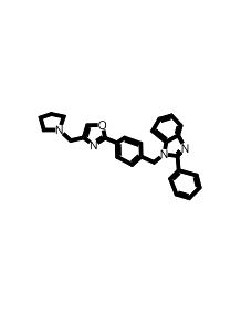 c1ccc(-c2nc3ccccc3n2Cc2ccc(-c3nc(CN4CCCC4)co3)cc2)cc1